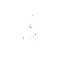 O=C1OC2(CCCC2)CC(O)=C1CCCC=NOCC=Cc1ccccc1